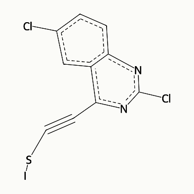 Clc1ccc2nc(Cl)nc(C#CSI)c2c1